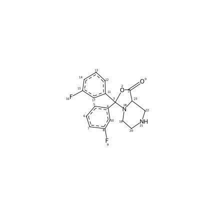 O=C1OC(c2cccc(F)c2)(c2cccc(F)c2)N2CCNCC12